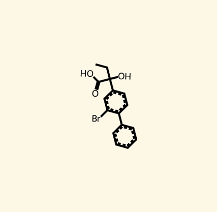 CCC(O)(C(=O)O)c1ccc(-c2ccccc2)c(Br)c1